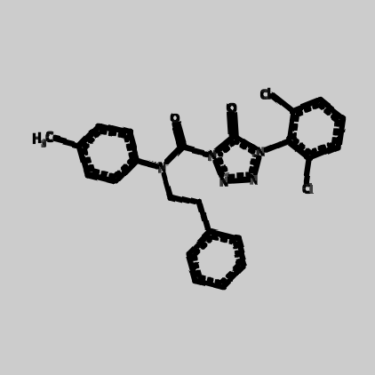 Cc1ccc(N(CCc2ccccc2)C(=O)n2nnn(-c3c(Cl)cccc3Cl)c2=O)cc1